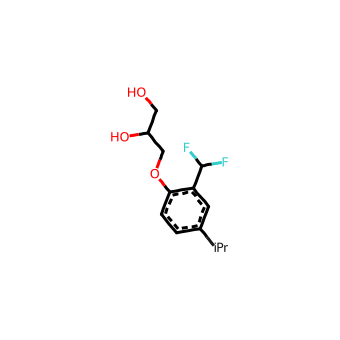 CC(C)c1ccc(OCC(O)CO)c(C(F)F)c1